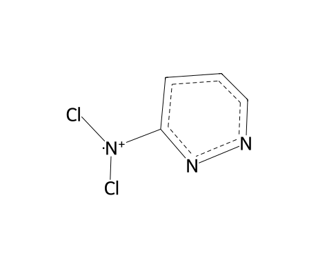 Cl[N+](Cl)c1cccnn1